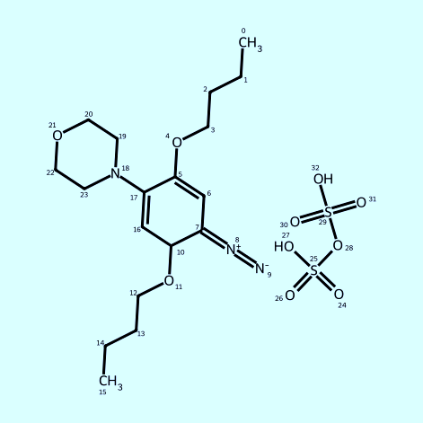 CCCCOC1=CC(=[N+]=[N-])C(OCCCC)C=C1N1CCOCC1.O=S(=O)(O)OS(=O)(=O)O